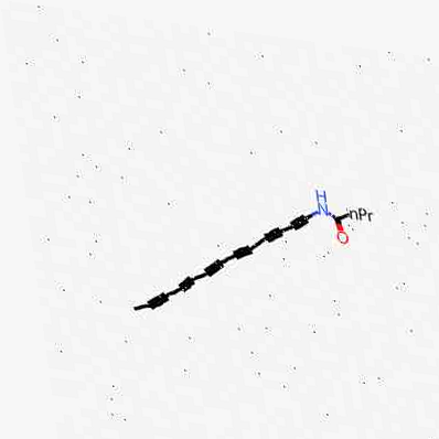 CC#CC#CC#CC#CC#CC#CNC(=O)CCC